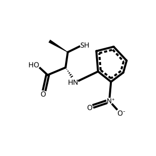 C[C@@H](S)[C@H](Nc1ccccc1[N+](=O)[O-])C(=O)O